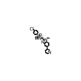 CCn1c([C@@H](C)NS(=O)(=O)c2ccc(Cl)cc2)nc2cc(-c3cccnc3)ccc21